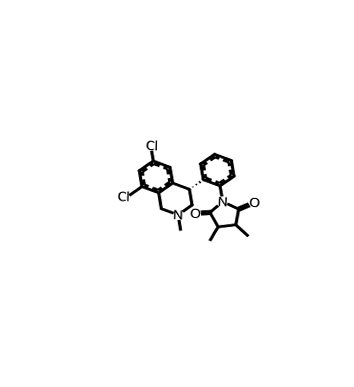 CC1C(=O)N(c2ccccc2[C@@H]2CN(C)Cc3c(Cl)cc(Cl)cc32)C(=O)C1C